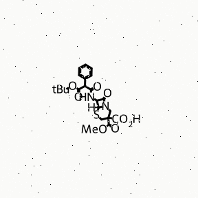 COC(=O)C1(C(=O)O)CS[C@@H]2C(NC(=O)C(C(=O)OC(C)(C)C)c3ccccc3)C(=O)N2C1